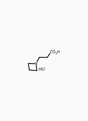 Cl.O=C(O)CCN1CCC1